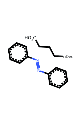 CCCCCCCCCCCCCC(=O)O.c1ccc(N=Nc2ccccc2)cc1